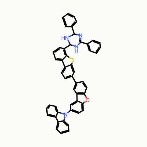 c1ccc(C2=NC(c3ccccc3)NC(c3cccc4c3sc3cc(-c5ccc6oc7ccc(-n8c9ccccc9c9ccccc98)cc7c6c5)ccc34)N2)cc1